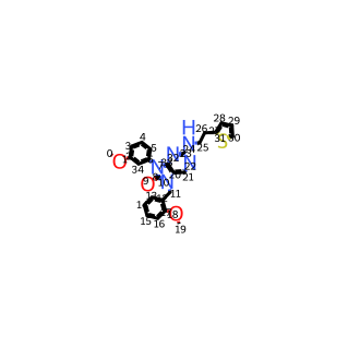 COc1cccc(-n2c(=O)n(Cc3ccccc3OC)c3cnc(NCCc4cccs4)nc32)c1